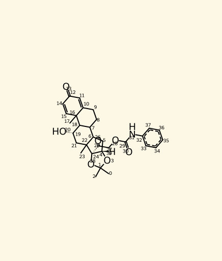 CC1(C)O[C@H]2CC3C4CCC5=CC(=O)C=CC5(C)C4[C@@H](O)CC3(C)[C@]2(C(=O)COC(=O)Nc2ccccc2)O1